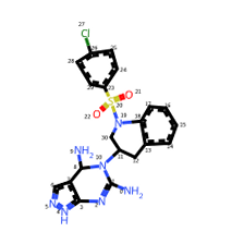 NC1=Nc2[nH]ncc2C(N)N1C1Cc2ccccc2N(S(=O)(=O)c2ccc(Cl)cc2)C1